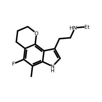 CCNCCc1c[nH]c2c(C)c(F)c3c(c12)OCCC3